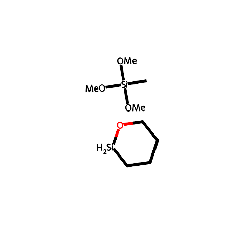 C1CC[SiH2]OC1.CO[Si](C)(OC)OC